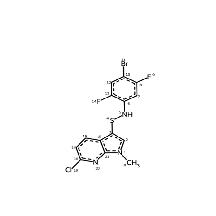 Cn1cc(SNc2cc(F)c(Br)cc2F)c2ccc(Cl)nc21